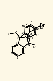 CCC12c3ccccc3C(C)(c3cc(Br)ccc31)N2C1CC1